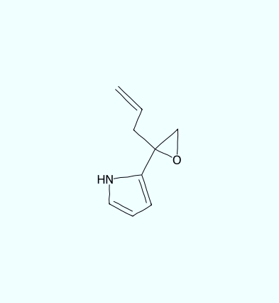 C=CCC1(c2ccc[nH]2)CO1